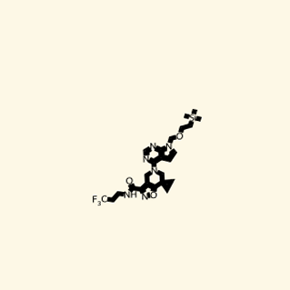 C[Si](C)(C)CCOCn1ccc2c(N3Cc4c(C(=O)NCCC(F)(F)F)noc4C4(CC4)C3)ncnc21